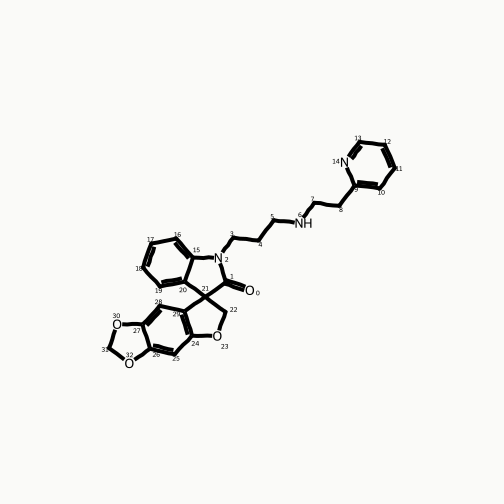 O=C1N(CCCNCCc2ccccn2)c2ccccc2C12COc1cc3c(cc12)OCO3